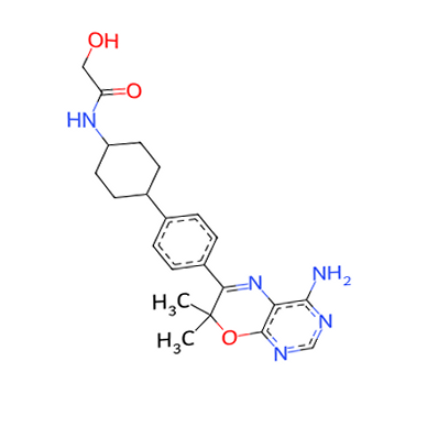 CC1(C)Oc2ncnc(N)c2N=C1c1ccc(C2CCC(NC(=O)CO)CC2)cc1